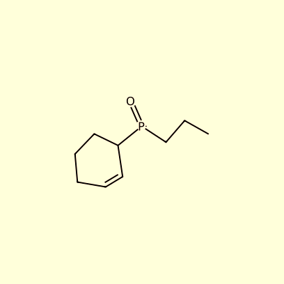 CCC[P](=O)C1C=CCCC1